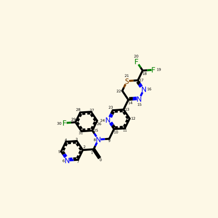 C=C(c1cccnc1)N(Cc1ccc(C2=NN=C(C(F)F)SC2)cn1)c1cccc(F)c1